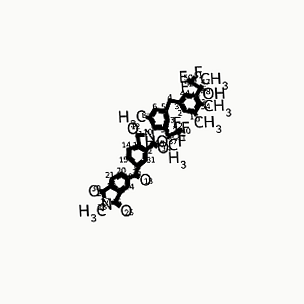 Cc1cc(Cc2cc(C)c(N3C(=O)c4ccc(C(=O)c5ccc6c(c5)C(=O)N(C)C6=O)cc4C3=O)c(C(C)(O)C(F)(F)F)c2)cc(C(C)(O)C(F)(F)F)c1C